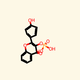 O=c1c(OP(=O)(O)O)c(-c2ccc(O)cc2)oc2ccccc12